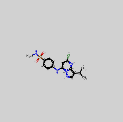 CNS(=O)(=O)c1ccc(Nc2cc(Cl)nc3c(C(C)C)cnn23)cc1